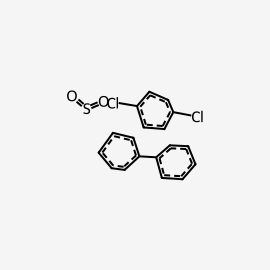 Clc1ccc(Cl)cc1.O=S=O.c1ccc(-c2ccccc2)cc1